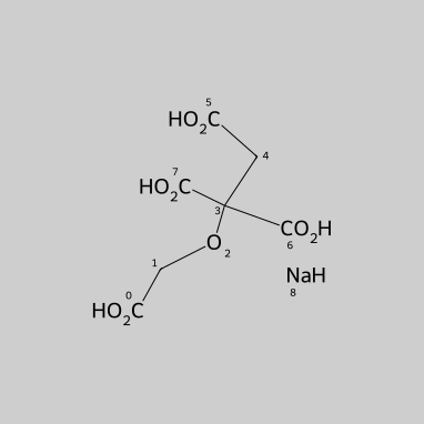 O=C(O)COC(CC(=O)O)(C(=O)O)C(=O)O.[NaH]